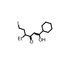 CCC(CCI)C(=O)/C=C(\O)C1CCCCC1